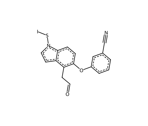 N#Cc1cccc(Oc2ccc3c(ccn3SI)c2CC=O)c1